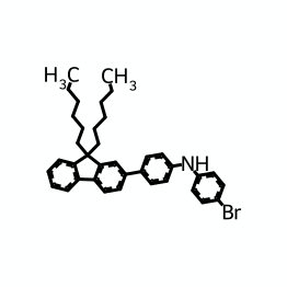 CCCCCCC1(CCCCCC)c2ccccc2-c2ccc(-c3ccc(Nc4ccc(Br)cc4)cc3)cc21